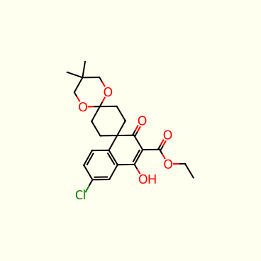 CCOC(=O)C1=C(O)c2cc(Cl)ccc2C2(CCC3(CC2)OCC(C)(C)CO3)C1=O